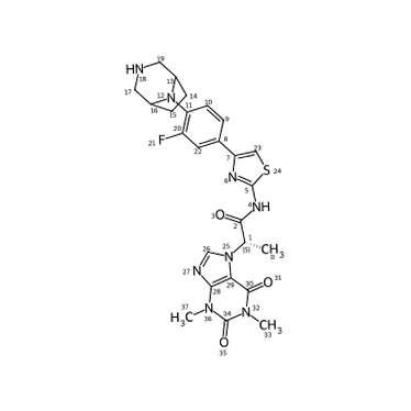 C[C@@H](C(=O)Nc1nc(-c2ccc(N3C4CCC3CNC4)c(F)c2)cs1)n1cnc2c1c(=O)n(C)c(=O)n2C